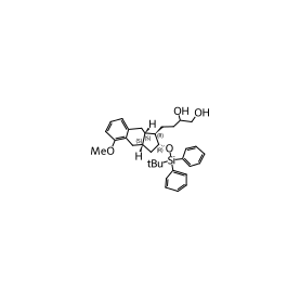 COc1cccc2c1C[C@H]1C[C@@H](O[Si](c3ccccc3)(c3ccccc3)C(C)(C)C)[C@H](CCC(O)CO)[C@H]1C2